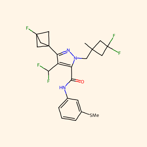 CSc1cccc(NC(=O)c2c(C(F)F)c(C34CC(F)(C3)C4)nn2CC2(C)CC(F)(F)C2)c1